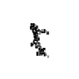 CNC(=O)OC[C@@H]1Cc2c(c(F)cc3nc(-c4cc(C)cc5nc(OC)cnc45)sc23)O1